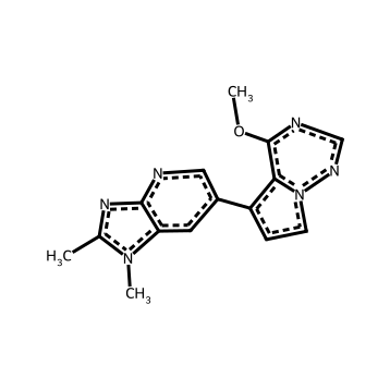 COc1ncnn2ccc(-c3cnc4nc(C)n(C)c4c3)c12